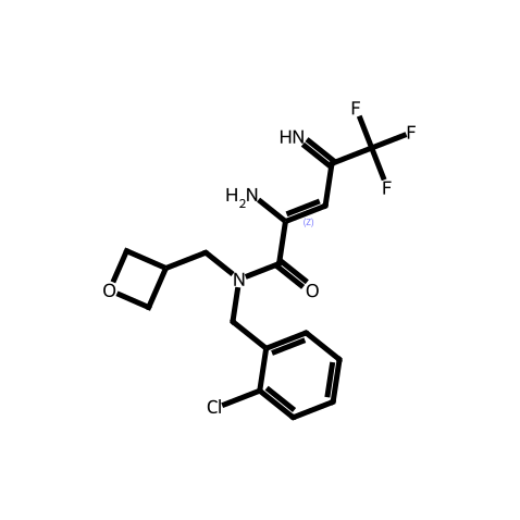 N=C(/C=C(\N)C(=O)N(Cc1ccccc1Cl)CC1COC1)C(F)(F)F